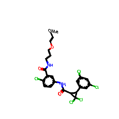 COCCOCCCNC(=O)c1cc(NC(=O)C2C(c3cc(Cl)cc(Cl)c3)C2(Cl)Cl)ccc1Cl